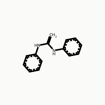 C=C(Nc1ccccc1)Nc1ccccc1